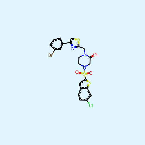 O=C1CN(S(=O)(=O)c2cc3ccc(Cl)cc3s2)CCN1Cc1nc(-c2cccc(Br)c2)cs1